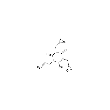 C=CCN1C(=O)N(CC2CO2)C(=O)N(CC2CO2)C1O